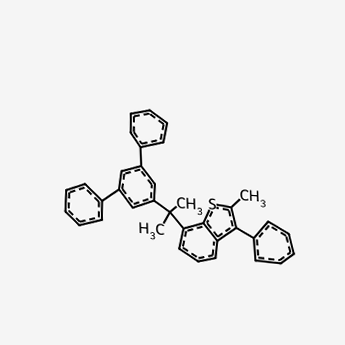 Cc1sc2c(C(C)(C)c3cc(-c4ccccc4)cc(-c4ccccc4)c3)cccc2c1-c1ccccc1